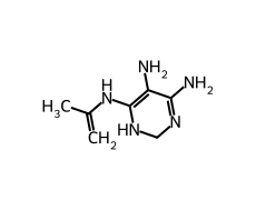 C=C(C)NC1=C(N)C(N)=NCN1